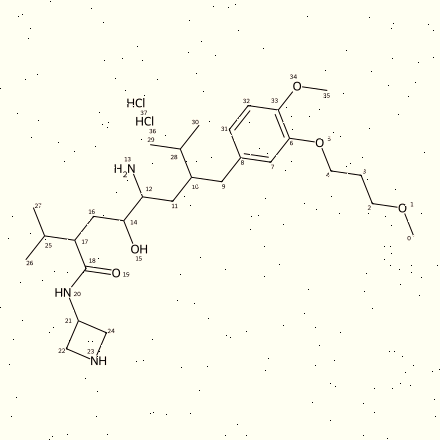 COCCCOc1cc(CC(CC(N)C(O)CC(C(=O)NC2CNC2)C(C)C)C(C)C)ccc1OC.Cl.Cl